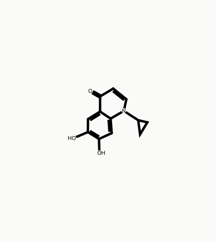 O=c1[c]cn(C2CC2)c2cc(O)c(O)cc12